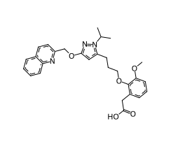 COc1cccc(CC(=O)O)c1OCCCc1cc(OCc2ccc3ccccc3n2)nn1C(C)C